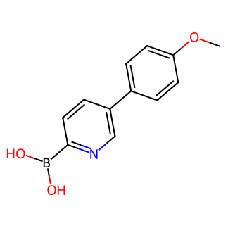 COc1ccc(-c2ccc(B(O)O)nc2)cc1